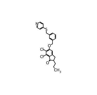 CCCC1Cc2cc(OCc3cccc(CSc4ccncc4)c3)c(Cl)c(Cl)c2C1=O